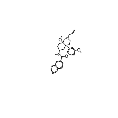 C=CCN1CCC2(c3cccc(OC)c3)CC(N(C)C(=O)c3ccc4ccccc4c3)CCC2(OC)C1